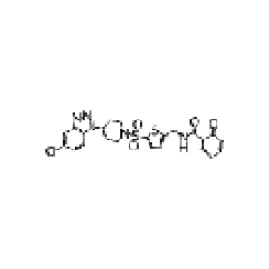 O=C1C=CC=CC1C(=O)NCc1ccc(S(=O)(=O)N2CCC(n3nnc4cc(Cl)ccc43)CC2)s1